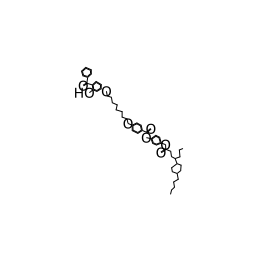 CCCCCC1CCC(C(CCC)CCC(=O)Oc2ccc(OC(=O)c3ccc(OCCCCCCCCOc4ccc(C(=O)c5ccccc5)c(O)c4)cc3)cc2)CC1